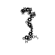 Cn1c(=O)n(C2CCC(=O)NC2=O)c2ccc(CCCN3CC4(CCN(C(=O)[C@H]5CC[C@H](n6cc(NC(=O)c7cnn8ccc(N9C[C@H]%10C[C@@H]9CO%10)nc78)c(C(F)F)n6)CC5)CC4)C3)cc21